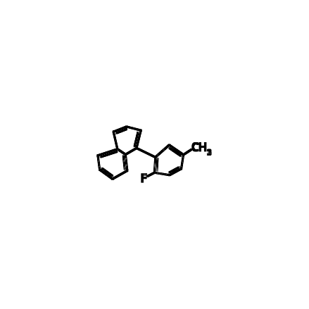 Cc1ccc(F)c(-c2cccc3ccccc23)c1